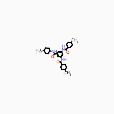 CC1CCC(NC(=O)c2cc(NC(=O)C3CCC(C)CC3)cc(NC(=O)C3CCC(C)CC3)c2)CC1